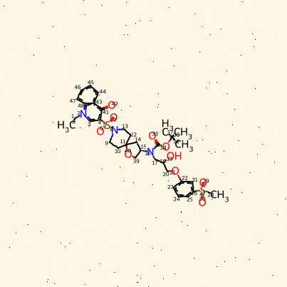 CCn1cc(S(=O)(=O)N2CCC3(CC2)C[C@@H](N(C[C@@H](O)COc2cccc(S(C)(=O)=O)c2)C(=O)OC(C)(C)C)CO3)c(=O)c2ccccc21